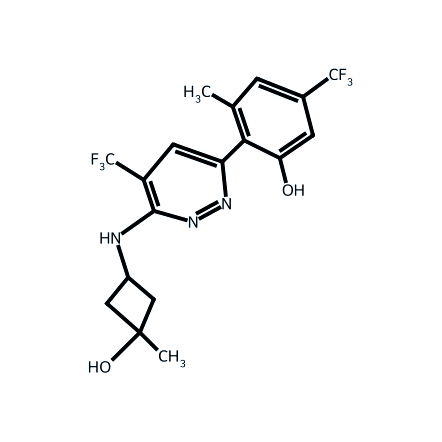 Cc1cc(C(F)(F)F)cc(O)c1-c1cc(C(F)(F)F)c(NC2CC(C)(O)C2)nn1